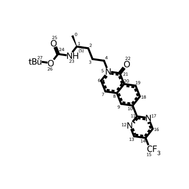 C[C@@H](CCCn1ccc2cc(-c3ncc(C(F)(F)F)cn3)ccc2c1=O)NC(=O)OC(C)(C)C